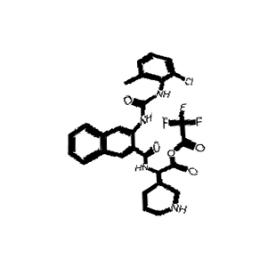 Cc1cccc(Cl)c1NC(=O)Nc1cc2ccccc2cc1C(=O)NC(C(=O)OC(=O)C(F)(F)F)C1CCCNC1